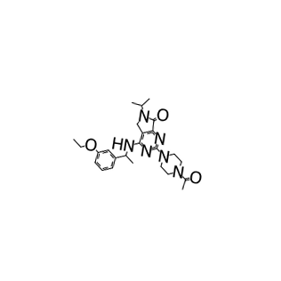 CCOc1cccc(C(C)Nc2nc(N3CCN(C(C)=O)CC3)nc3c2CN(C(C)C)C3=O)c1